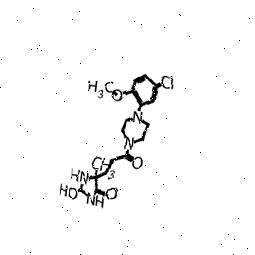 COc1ccc(Cl)cc1N1CCN(C(=O)CC[C@@]2(C)NC(O)NC2=O)CC1